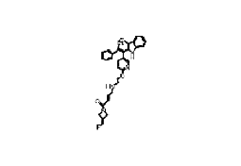 CC/C(=C(/c1ccc(OCCNC/C=C/C(=O)N2CC(CF)C2)nc1)c1[nH]c2ccccc2c1Cl)c1ccccc1